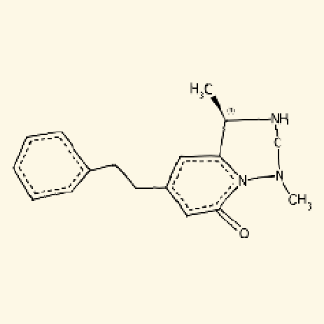 C[C@H]1NCN(C)n2c1cc(CCc1ccccc1)cc2=O